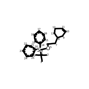 CC(C)(C)[Si](OCCC1CC=CCC1)(c1ccccc1)c1ccccc1